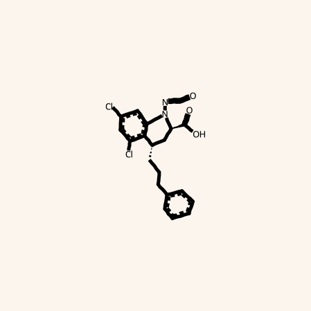 O=C=NN1c2cc(Cl)cc(Cl)c2[C@@H](CCCc2ccccc2)C[C@@H]1C(=O)O